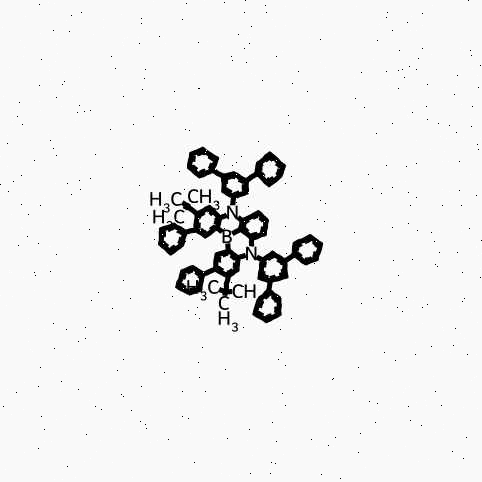 CC(C)(C)c1cc2c(cc1-c1ccccc1)B1c3cc(-c4ccccc4)c(C(C)(C)C)cc3N(c3cc(-c4ccccc4)cc(-c4ccccc4)c3)c3cccc(c31)N2c1cc(-c2ccccc2)cc(-c2ccccc2)c1